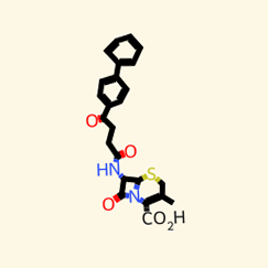 CC1=C(C(=O)O)N2C(=O)C(NC(=O)CCC(=O)c3ccc(-c4ccccc4)cc3)C2SC1